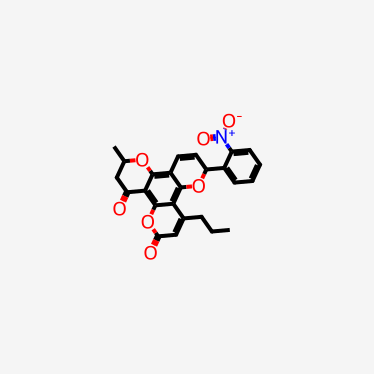 CCCc1cc(=O)oc2c3c(c4c(c12)OC(c1ccccc1[N+](=O)[O-])C=C4)OC(C)CC3=O